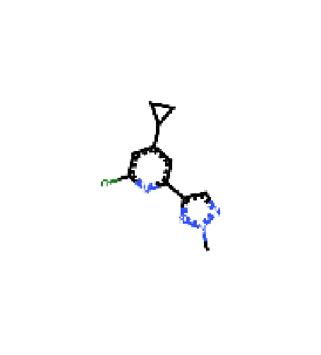 Cn1ncc(-c2cc(C3CC3)cc(Cl)n2)n1